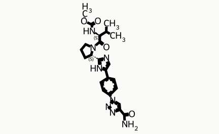 COC(=O)N[C@H](C(=O)N1CCC[C@H]1c1ncc(-c2ccc(-n3cc(C(N)=O)nn3)cc2)[nH]1)C(C)C